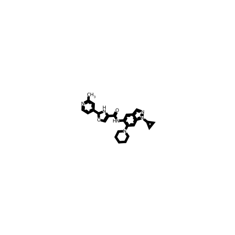 Cc1cc(C2NC(C(=O)Nc3cc4cnn(C5CC5)c4cc3N3CCCCC3)=CO2)ccn1